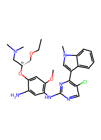 CCOC[C@@H](CN(C)C)Oc1cc(OC)c(Nc2ncc(Cl)c(-c3cn(C)c4ccccc34)n2)cc1N